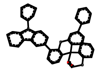 c1ccc(-c2ccc3c(c2)Oc2c(-c4ccc5c(c4)c4ccccc4n5-c4ccccc4)cccc2C32c3ccccc3Oc3ccccc32)cc1